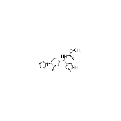 COC(=S)NC(c1ccc(-n2cccc2)c(F)c1)c1c[nH]nn1